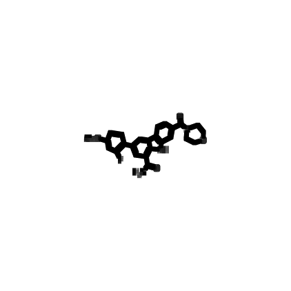 COc1ccc(-c2cc(C(N)=O)c3[nH]c4cc(C(=O)N5CCOCC5)ccc4c3c2)c(F)c1